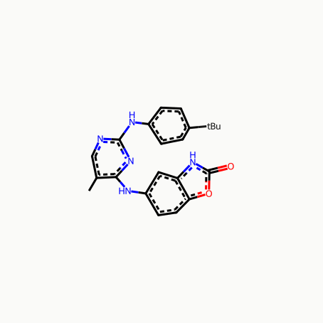 Cc1cnc(Nc2ccc(C(C)(C)C)cc2)nc1Nc1ccc2oc(=O)[nH]c2c1